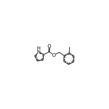 Cc1ccccc1COC(=O)c1ccc[nH]1